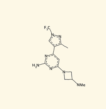 CNC1CN(c2cc(-c3cn(C(F)(F)F)nc3C)nc(N)n2)C1